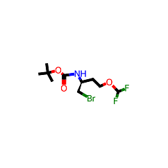 CC(C)(C)OC(=O)N[C@H](CBr)CCOC(F)F